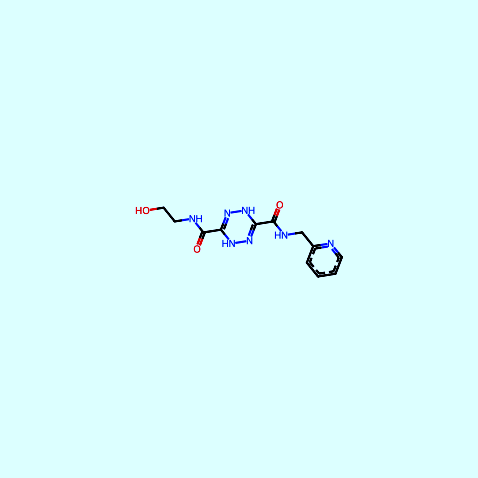 O=C(NCCO)C1=NNC(C(=O)NCc2ccccn2)=NN1